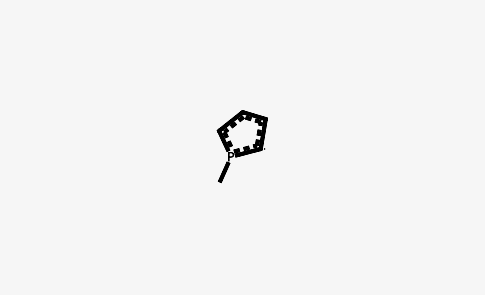 Cp1[c]ccc1